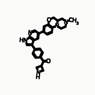 CN1CCN2c3ccc(-c4cnc5[nH]cc(-c6ccc(C(=O)C7CNC7)cc6)c5c4)cc3OCC2C1